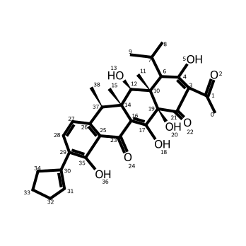 CC(=O)C1=C(O)C(C(C)C)[C@@]2(C)[C@H](O)[C@]3(C)C(=C(O)[C@@]2(O)C1=O)C(=O)c1c(ccc(C2=CCCC2)c1O)[C@H]3C